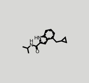 CC(C)NC(=O)c1cc2c(CC3CC3)cccc2[nH]1